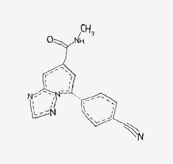 CNC(=O)c1cc(-c2ccc(C#N)cc2)n2ncnc2c1